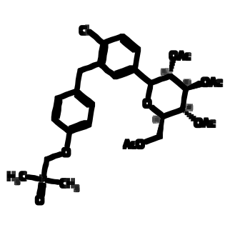 CC(=O)OC[C@H]1OC(c2ccc(Cl)c(Cc3ccc(OCP(C)(C)=O)cc3)c2)[C@H](OC(C)=O)[C@@H](OC(C)=O)[C@@H]1OC(C)=O